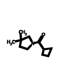 CC1(C)CCN(C(=O)C2CCC2)C1